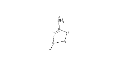 BC1=CC(C)CC1